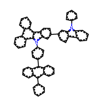 c1ccc(-c2c3ccccc3c(-c3ccc(-n4c5cc(-c6ccc7c8ccccc8n(-c8ccccc8)c7c6)ccc5c5c6ccccc6c6ccccc6c54)cc3)c3ccccc23)cc1